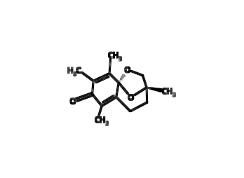 CC1=C(C)[C@]23OC[C@](C)(CCC2=C(C)C1=O)O3